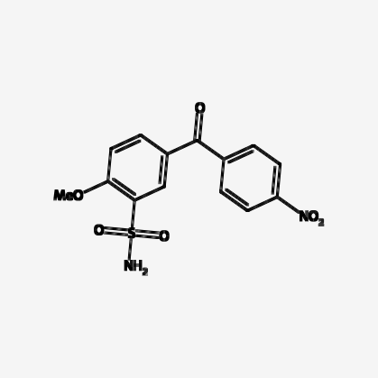 COc1ccc(C(=O)c2ccc([N+](=O)[O-])cc2)cc1S(N)(=O)=O